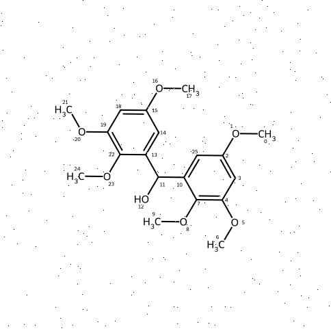 COc1cc(OC)c(OC)c(C(O)c2cc(OC)cc(OC)c2OC)c1